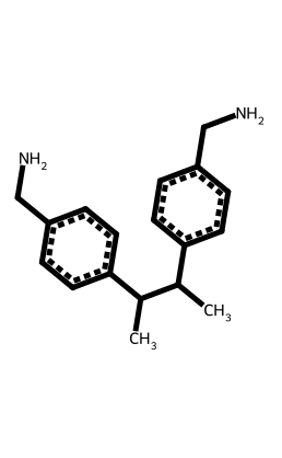 CC(c1ccc(CN)cc1)C(C)c1ccc(CN)cc1